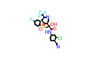 N#Cc1ccc(NC(=O)C(O)(CS(=O)(=O)c2ccc(F)cc2)c2ccc(C(F)(F)F)nc2)cc1Cl